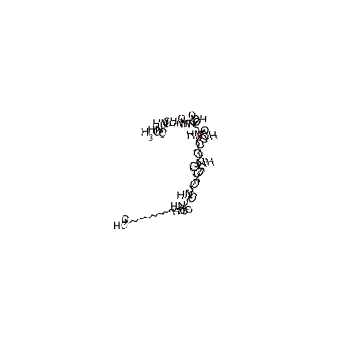 CNC(=O)C(CCCCNC(=O)CCC(NC(=O)CC[C@H](NC(=O)COCCOCCNC(=O)COCCOCCNC(=O)CCC(NC(=O)CCCCCCCCCCCCCCCCC(=O)O)C(=O)O)C(=O)O)C(=O)O)NS